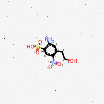 Nc1cc(CCO)c([N+](=O)[O-])cc1S(=O)(=O)O